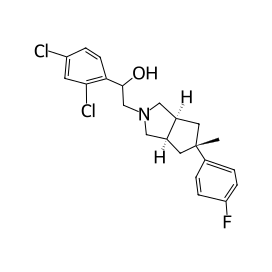 C[C@@]1(c2ccc(F)cc2)C[C@H]2CN(CC(O)c3ccc(Cl)cc3Cl)C[C@H]2C1